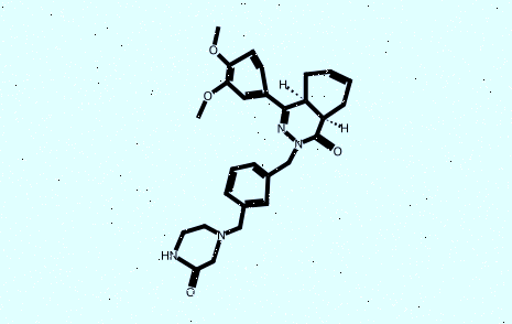 COc1ccc(C2=NN(Cc3cccc(CN4CCNC(=O)C4)c3)C(=O)[C@@H]3CC=CC[C@H]23)cc1OC